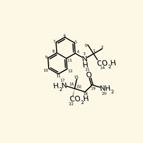 CC(C)(Nc1cccc2ccccc12)C(=O)O.C[C@](N)(CC(N)=O)C(=O)O